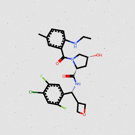 CCNc1ccc(C)cc1C(=O)N1C[C@H](O)C[C@@H]1C(=O)N[C@@H](c1cc(F)c(Cl)cc1F)C1COC1